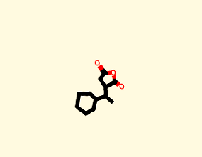 CC(C1CCCCC1)C1CC(=O)OC1=O